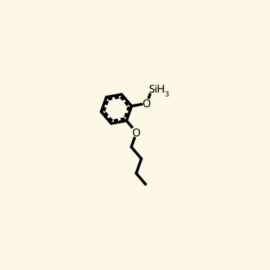 CCCCOc1ccccc1O[SiH3]